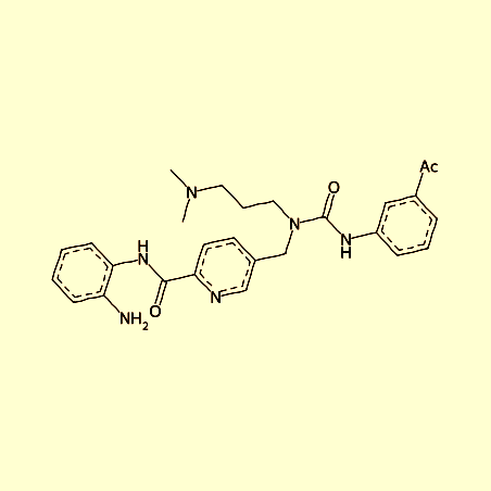 CC(=O)c1cccc(NC(=O)N(CCCN(C)C)Cc2ccc(C(=O)Nc3ccccc3N)nc2)c1